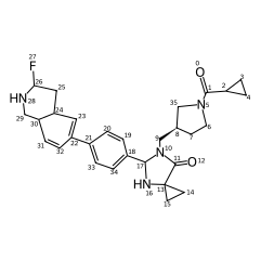 O=C(C1CC1)N1CC[C@@H](CN2C(=O)C3(CC3)NC2c2ccc(C3=CC4CC(F)NCC4C=C3)cc2)C1